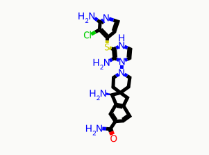 NC(=O)c1ccc2c(c1)[C@@H](N)C1(CCN(N3C=CNC(Sc4ccnc(N)c4Cl)=C3N)CC1)C2